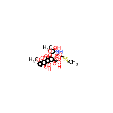 CCSSCCOC(=O)NC1CC(O[C@H]2C[C@](O)(C(=O)CO)Cc3c(O)c4c(c(O)c32)C(=O)c2c(OC)cccc2C4=O)OC(C)C1O